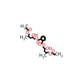 C=CC(=O)OCC(C)CC(O)COC(=O)c1ccccc1C(=O)OCC(O)CC(C)COC(=O)C=C